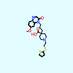 COc1ccc2ncc(=O)n(CCCC3(C(=O)O)CCN(CCSc4cccs4)CC3)c2c1